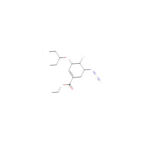 CCOC(=O)C1=CC(OC(CC)CC)C(N)C(N=[N+]=[N-])C1